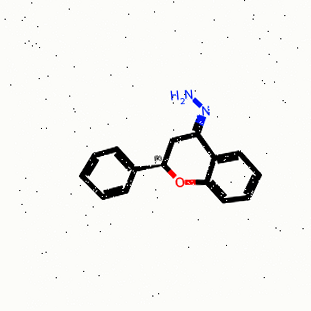 NN=C1C[C@H](c2ccccc2)Oc2ccccc21